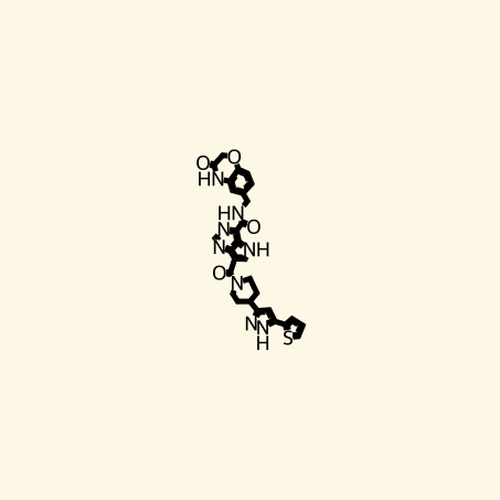 O=C1COc2ccc(CNC(=O)c3ncnc4c(C(=O)N5CCC(c6cc(-c7cccs7)[nH]n6)CC5)c[nH]c34)cc2N1